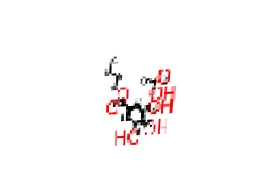 CC(=O)O.CCCCOC(=O)c1cc(O)c(O)c(O)c1